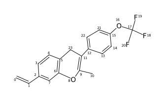 C=Cc1ccc2c(c1)OC(C)=C(c1ccc(OC(F)(F)F)cc1)C2